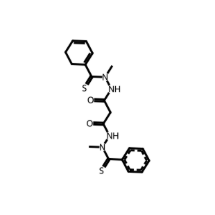 CN(NC(=O)CC(=O)NN(C)C(=S)c1ccccc1)C(=S)C1=CC=CCC1